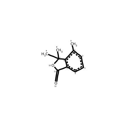 Cc1cccc2c1C(C)(C)OC2=O